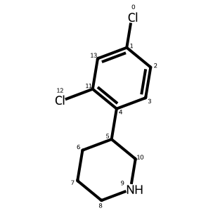 Clc1ccc(C2CCCNC2)c(Cl)c1